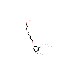 COc1cc(OC)cc(OCCCCCCCCO)c1